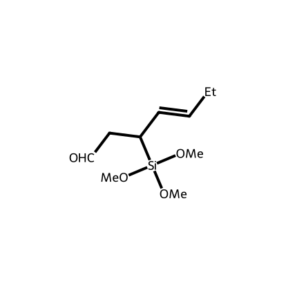 CCC=CC(CC=O)[Si](OC)(OC)OC